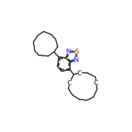 c1cc(C2CCCCCCCCC2)c2nsnc2c1C1CCCCCCCCCCC1